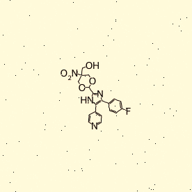 O=[N+]([O-])C1(CO)COC(c2nc(-c3ccc(F)cc3)c(-c3ccncc3)[nH]2)OC1